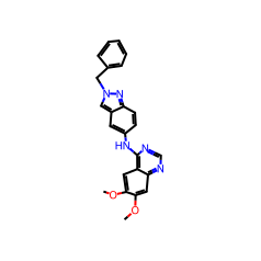 COc1cc2ncnc(Nc3ccc4nn(Cc5ccccc5)cc4c3)c2cc1OC